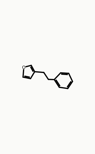 c1ccc(CCc2ccoc2)cc1